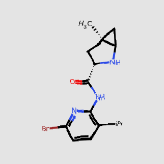 CC(C)c1ccc(Br)nc1NC(=O)[C@@H]1C[C@@]2(C)CC2N1